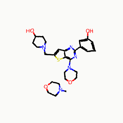 CN1CCOCC1.Oc1cccc(-c2nc(N3CCOCC3)c3sc(CN4CCC(O)CC4)cc3n2)c1